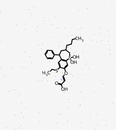 CCCCC1CC(c2ccccc2)c2cc(SCC)c(O/C=C/C(=O)O)cc2S(O)(O)C1